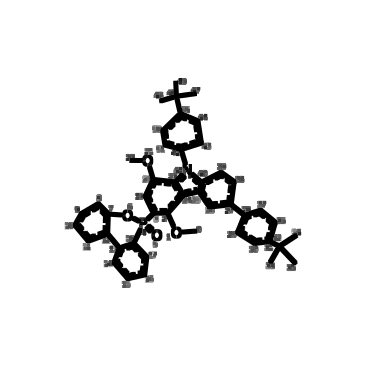 COc1c(P2(=O)Oc3ccccc3-c3ccccc32)cc(OC)c2c1c1cc(-c3ccc(C(C)(C)C)cc3)ccc1n2-c1ccc(C(C)(C)C)cc1